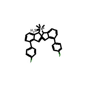 [CH3][Hf]([CH3])([CH3])([CH3])(=[SiH2])([CH]1C=Cc2c(-c3ccc(F)cc3)cccc21)[CH]1C=Cc2c(-c3ccc(F)cc3)cccc21